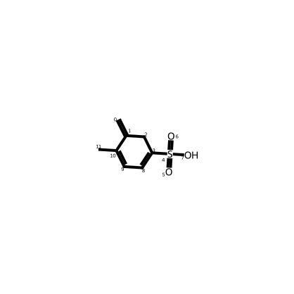 C=C1CC(S(=O)(=O)O)=CC=C1C